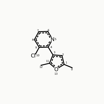 Cc1cc(-c2ncccc2Cl)c(C)o1